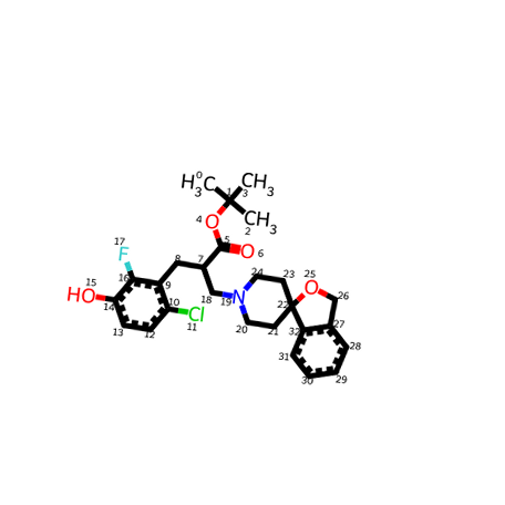 CC(C)(C)OC(=O)C(Cc1c(Cl)ccc(O)c1F)CN1CCC2(CC1)OCc1ccccc12